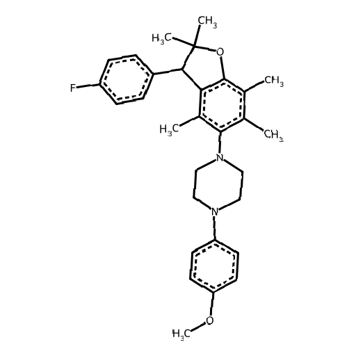 COc1ccc(N2CCN(c3c(C)c(C)c4c(c3C)C(c3ccc(F)cc3)C(C)(C)O4)CC2)cc1